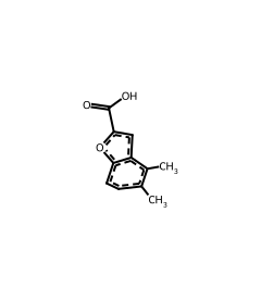 Cc1ccc2oc(C(=O)O)cc2c1C